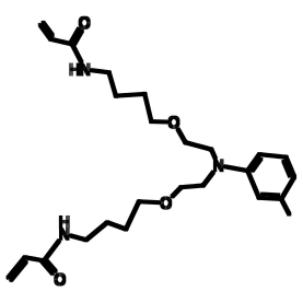 C=CC(=O)NCCCCOCCN(CCOCCCCNC(=O)C=C)c1cccc(C)c1